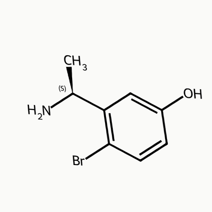 C[C@H](N)c1cc(O)ccc1Br